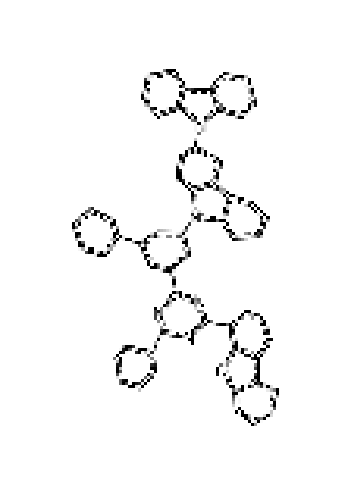 c1ccc(-c2cc(-c3nc(-c4ccccc4)nc(-c4cccc5c4oc4ccccc45)n3)cc(-n3c4ccccc4c4cc(-n5c6ccccc6c6ccccc65)ccc43)c2)cc1